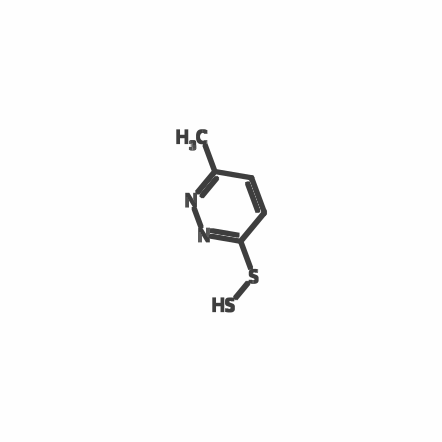 Cc1ccc(SS)nn1